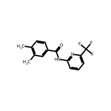 Cc1ccc(C(=O)Nc2cccc(C(F)(F)F)n2)cc1C